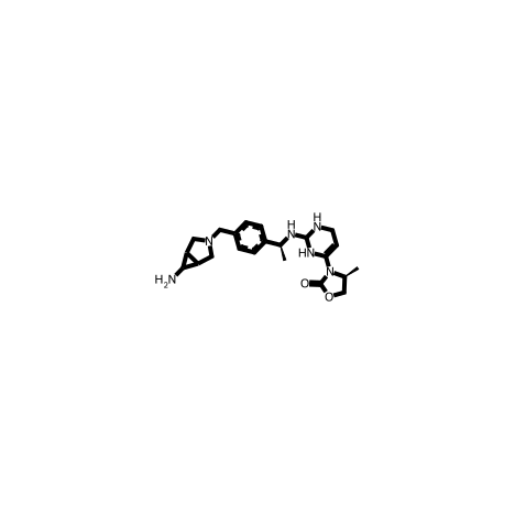 C[C@H](NC1NCC=C(N2C(=O)OC[C@@H]2C)N1)c1ccc(CN2CC3C(N)C3C2)cc1